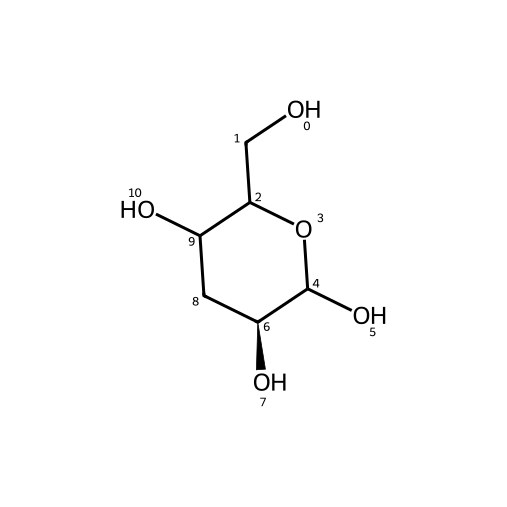 OCC1OC(O)[C@@H](O)CC1O